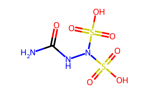 NC(=O)NN(S(=O)(=O)O)S(=O)(=O)O